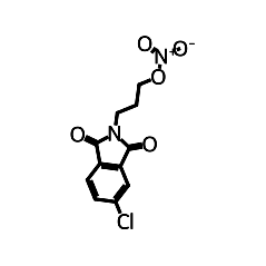 O=C1c2ccc(Cl)cc2C(=O)N1CCCO[N+](=O)[O-]